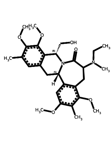 CCN(C)C1Cc2c(cc(OC)c(C)c2OC)[C@@H]2Cc3cc(C)c(OC)c(OC)c3[C@H](CO)N2C1=O